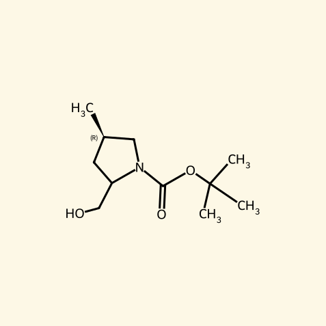 C[C@@H]1CC(CO)N(C(=O)OC(C)(C)C)C1